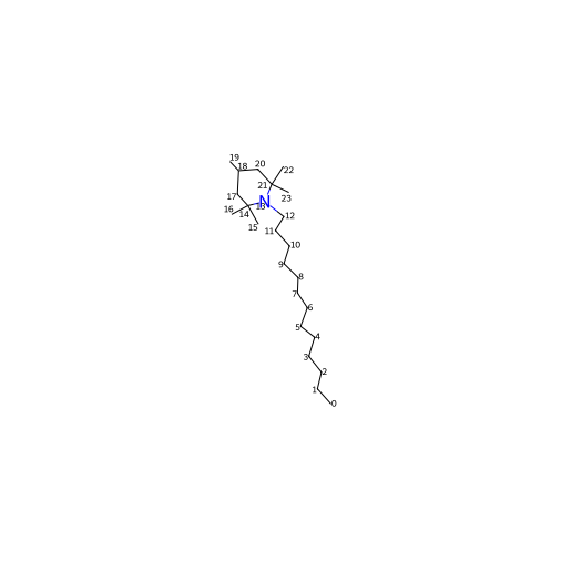 CCCCCCCCCCCCCN1C(C)(C)CC(C)CC1(C)C